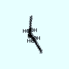 CCCCCCCCCCCCC(O)C(O)CSc1nnc(SCC(O)C(O)CCCCCCCCCCCC)s1